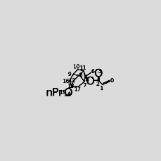 C=CC(=O)OC1(C)C2CC3CC1CC(OCCC)(C3)C2